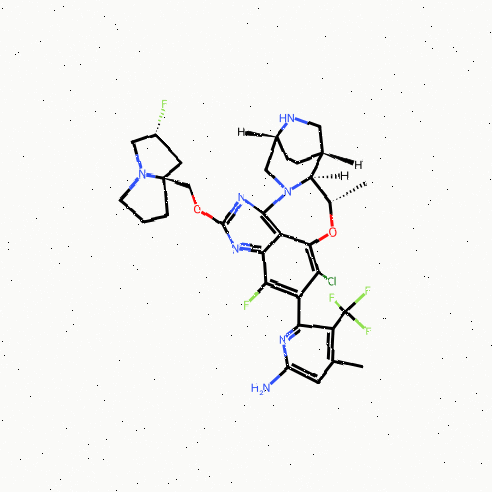 Cc1cc(N)nc(-c2c(Cl)c3c4c(nc(OC[C@@]56CCCN5C[C@H](F)C6)nc4c2F)N2C[C@H]4CC[C@H](CN4)[C@H]2[C@H](C)O3)c1C(F)(F)F